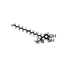 CCCCCCCCC=CCCCCCCC(C(=O)OCC)c1ccc(O)c(O)c1